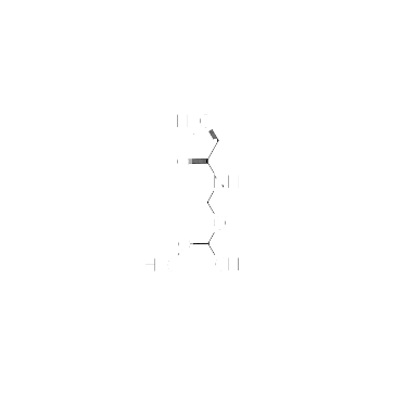 C=CC(=O)NCOC(C)OC